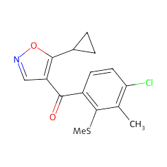 CSc1c(C(=O)c2cnoc2C2CC2)ccc(Cl)c1C